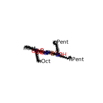 CCCCC/C=C\C/C=C\CCCCCCC(O)CN(CCCCSSCCN1CCN(CCOC(=O)CCCCN(CC(O)CCCCCC/C=C\CCCCCCCC)CC(O)CCCCCC/C=C\CCCCCCCC)CC1)CC(O)CCCCCC/C=C\C/C=C\CCCCC